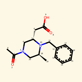 CC(=O)N1C[C@H](CC(=O)O)N(Cc2ccccc2)[C@@H](C)C1